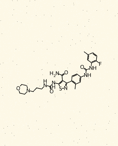 Cc1ccc(F)c(NC(=O)Nc2ccc(-c3nsc(NC(=O)NCCCN4CCOCC4)c3C(N)=O)c(C)c2)c1